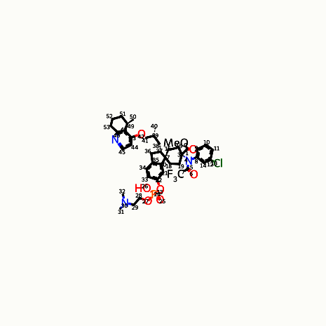 COC(=O)[C@]1(N(C(=O)C(F)(F)F)c2cccc(Cl)c2)CC[C@@]2(CC1)c1cc(OP(=O)(O)OCCN(C)C)ccc1C[C@@H]2C[C@@H](C)COc1ccnc2c1[C@H](C)CCC2